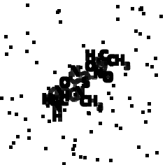 Cc1cc(C)c(C(=O)N2CC[C@@H]3CNC[C@@H]32)c(-c2ccnc3cc(CN4C(=O)C5C(C4=O)C5(C)C)sc23)n1